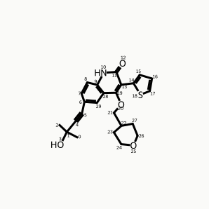 CC(C)(O)C#Cc1ccc2[nH]c(=O)c(-c3cccs3)c(OCC3CCOCC3)c2c1